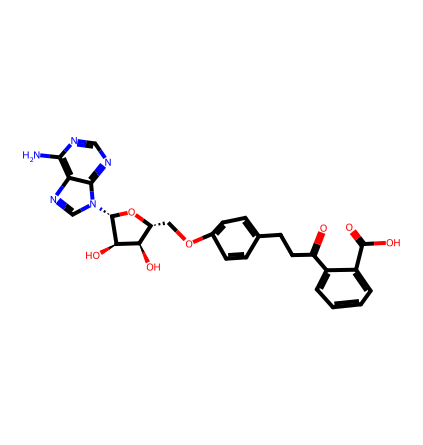 Nc1ncnc2c1ncn2[C@@H]1O[C@H](COc2ccc(CCC(=O)c3ccccc3C(=O)O)cc2)[C@@H](O)[C@H]1O